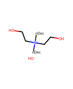 CCCCCCCCCC[N+](CCO)(CCO)CCCCCCCCCC.[OH-]